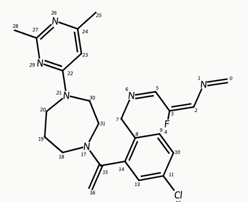 C=N/C=C(F)\C=N/Cc1ccc(Cl)cc1C(=C)N1CCCN(c2cc(C)nc(C)n2)CC1